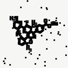 Cc1cccc(C(C)C)c1-n1c(=O)nc(N2CCN(C(=O)OC(C)(C)C)C[C@@H]2C)c2cc(F)c(-c3nc(N)ccc3Cl)nc21